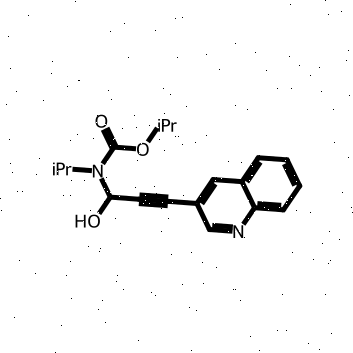 CC(C)OC(=O)N(C(C)C)C(O)C#Cc1cnc2ccccc2c1